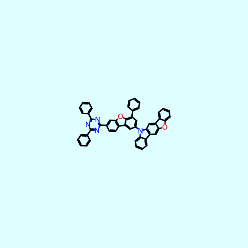 c1ccc(-c2nc(-c3ccccc3)nc(-c3ccc4c(c3)oc3c(-c5ccccc5)cc(-n5c6ccccc6c6cc7oc8ccccc8c7cc65)cc34)n2)cc1